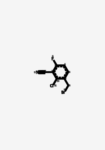 N#Cc1c(F)ccc(CBr)c1Cl